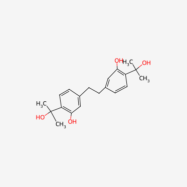 CC(C)(O)c1ccc(CCc2ccc(C(C)(C)O)c(O)c2)cc1O